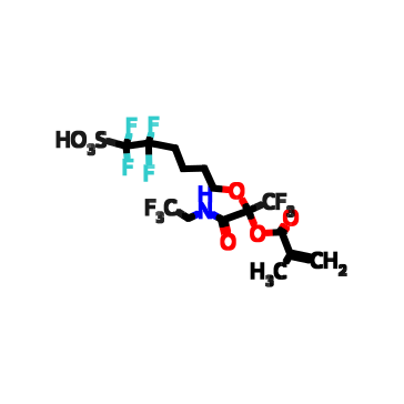 C=C(C)C(=O)OC(OCCCCC(F)(F)C(F)(F)S(=O)(=O)O)(C(=O)NCC(F)(F)F)C(F)(F)F